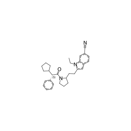 CCn1c(CCC2CCCN2C(=O)[C@H](c2ccccc2)C2CCCC2)cc2ccc(C#N)cc21